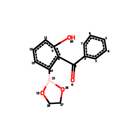 O=C(c1ccccc1)c1c(O)cccc1B1OCCO1